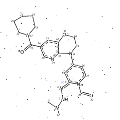 CN(C)N/N=c1/cc(N2CCOc3cc(C(=O)N4CCCCC4)cnc32)ccn1C=O